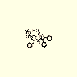 CC(C)(C)OC(=O)N1CCN(C(=O)c2c(-c3ccccc3)c(-c3ccccc3)nn2CCO)[C@H](Cc2ccccc2)C1